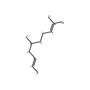 C/C=C/CC(C)CCC=C(C)C